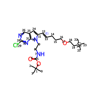 CC(C)(C)OC(=O)NCCn1c(/C=C/CCCOCC[Si](C)(C)C)cc2cnc(Cl)nc21